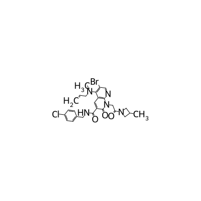 C=CCN(C)c1c(Br)cnc2c1cc(C(=O)NCc1ccc(Cl)cc1)c(=O)n2CC(=O)N1CC(C)C1